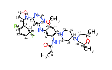 C=CC(=O)Nc1cc(Nc2cc(N3OCCC3c3cc(F)ccc3F)ncn2)c(OC)cc1N1CCC(N2C[C@@H](C)O[C@@H](C)C2)CC1